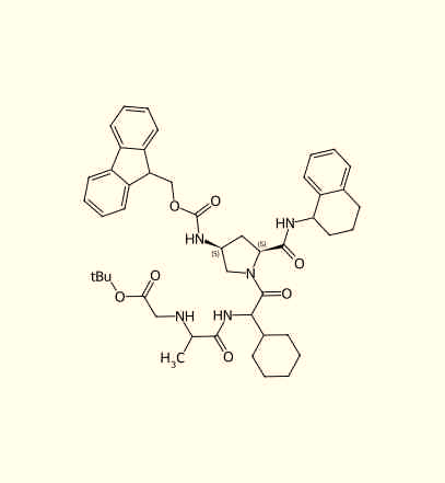 CC(NCC(=O)OC(C)(C)C)C(=O)NC(C(=O)N1C[C@@H](NC(=O)OCC2c3ccccc3-c3ccccc32)C[C@H]1C(=O)NC1CCCc2ccccc21)C1CCCCC1